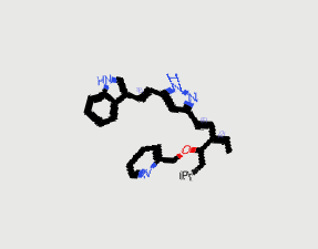 C/C=C(/C=C/c1cc(/C=C/c2c[nH]c3ccccc23)[nH]n1)C(CC(C)C)OCc1ccccn1